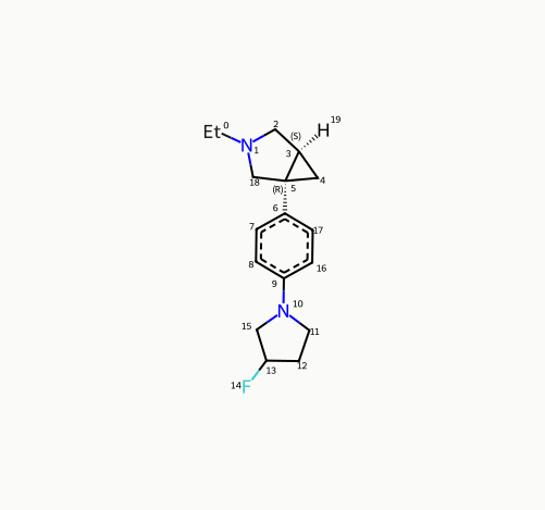 CCN1C[C@H]2C[C@@]2(c2ccc(N3CCC(F)C3)cc2)C1